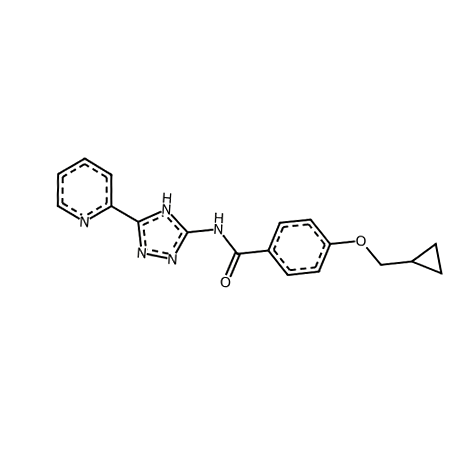 O=C(Nc1nnc(-c2ccccn2)[nH]1)c1ccc(OCC2CC2)cc1